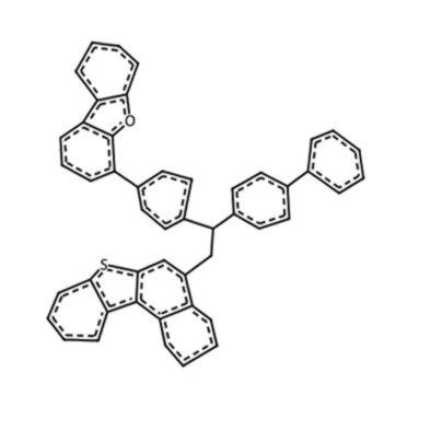 c1ccc(-c2ccc(C(Cc3cc4sc5ccccc5c4c4ccccc34)c3ccc(-c4cccc5c4oc4ccccc45)cc3)cc2)cc1